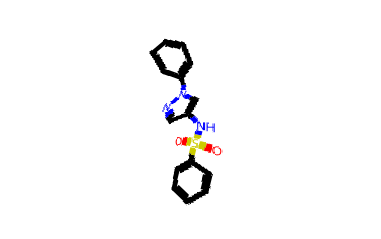 O=S(=O)(Nc1cnn(-c2ccccc2)c1)c1ccccc1